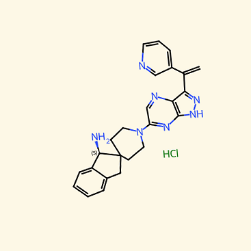 C=C(c1cccnc1)c1n[nH]c2nc(N3CCC4(CC3)Cc3ccccc3[C@H]4N)cnc12.Cl